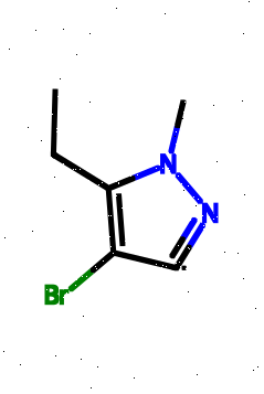 CCc1c(Br)[c]nn1C